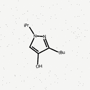 CC(C)n1cc(O)c(C(C)(C)C)n1